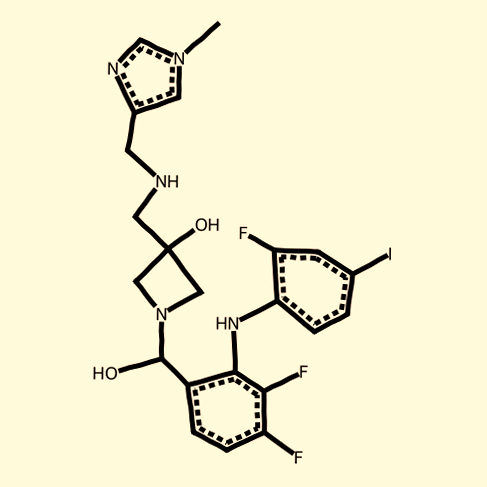 Cn1cnc(CNCC2(O)CN(C(O)c3ccc(F)c(F)c3Nc3ccc(I)cc3F)C2)c1